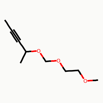 CC#CC(C)OCOCCOC